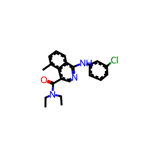 CCN(CC)C(=O)c1cnc(Nc2cccc(Cl)c2)c2cccc(C)c12